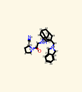 N#C[C@@H]1CCCN1C(=O)CNC12CC3CC(CC(CN4Cc5ccccc5C4)(C3)C1)C2